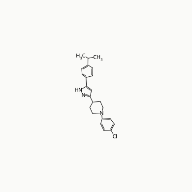 CC(C)c1ccc(-c2cc(C3CCN(c4ccc(Cl)cc4)CC3)n[nH]2)cc1